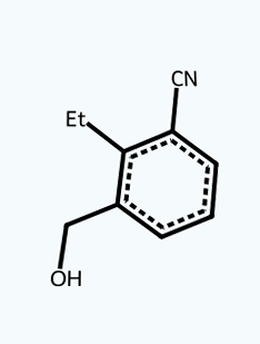 CCc1c(C#N)cccc1CO